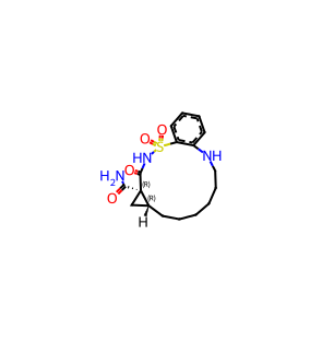 NC(=O)[C@@]12C[C@H]1CCCCCCNc1ccccc1S(=O)(=O)NC2=O